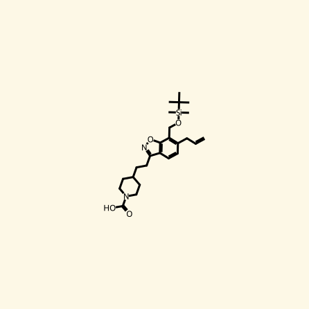 C=CCc1ccc2c(CCC3CCN(C(=O)O)CC3)noc2c1CO[Si](C)(C)C(C)(C)C